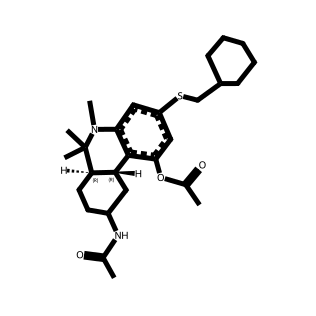 CC(=O)NC1CC[C@@H]2[C@@H](C1)c1c(OC(C)=O)cc(SCC3CCCCC3)cc1N(C)C2(C)C